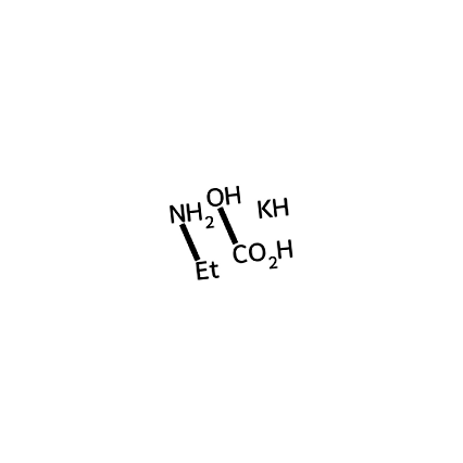 CCN.O=C(O)O.[KH]